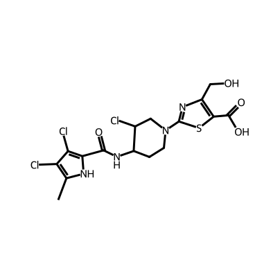 Cc1[nH]c(C(=O)NC2CCN(c3nc(CO)c(C(=O)O)s3)CC2Cl)c(Cl)c1Cl